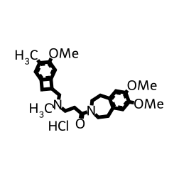 COc1cc2c(cc1C)CC2CN(C)CCC(=O)N1CCc2cc(OC)c(OC)cc2CC1.Cl